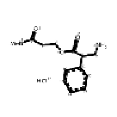 CNC(=O)CCOC(=O)C(CN)c1ccccc1.Cl